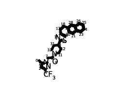 Cc1cc(C(F)(F)F)nn1CC(=O)N1CCC(c2nc(/C=C\c3ccc4ccccc4c3)cs2)CC1